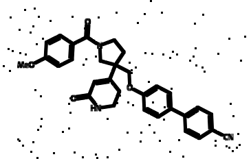 COc1ccc(C(=O)N2CCC(COc3ccc(-c4ccc(C#N)cc4)cc3)(C3=CC(=O)NCC3)C2)cc1